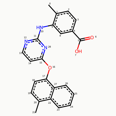 Cc1ccc(C(=O)O)cc1Nc1nccc(Oc2ccc(C)c3ccccc23)n1